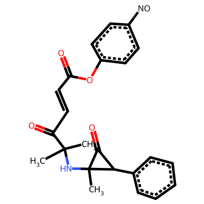 CC(C)(NC1(C)C(=O)C1c1ccccc1)C(=O)C=CC(=O)Oc1ccc(N=O)cc1